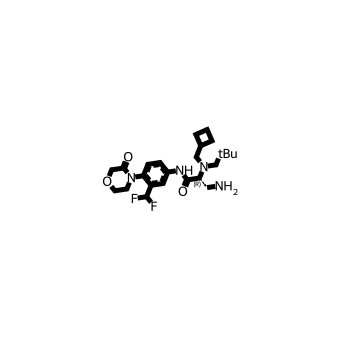 CC(C)(C)CN(CC1CCC1)[C@H](CN)C(=O)Nc1ccc(N2CCOCC2=O)c(C(F)F)c1